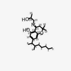 CCCCCC(C)C(C)c1cc(O)c2c(c1)OC(C)(C)CC2=NCC(C)O